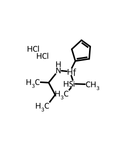 CCC(C)[NH][Hf]([C]1=CC=CC1)[SiH](C)C.Cl.Cl